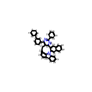 c1ccc(-c2cccc(-c3nc(-c4ccccc4)nc4c3Cc3ccc5c6ccccc6n(c5c3)-c3cc5ccccc5cc3-4)c2)cc1